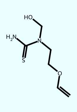 C=COCCN(CO)C(N)=S